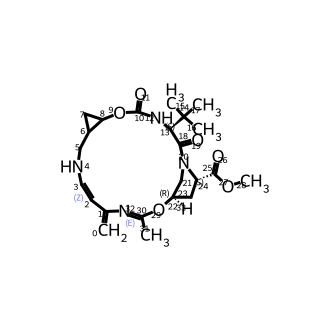 C=C1/C=C\NCC2CC2OC(=O)N[C@@H](C(C)(C)C)C(=O)N2C[C@@H](C[C@H]2C(=O)OC)O/C(C)=N/1